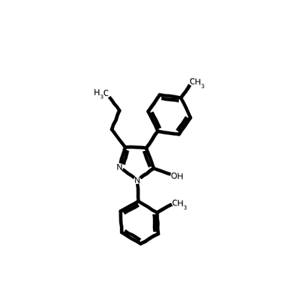 CCCc1nn(-c2ccccc2C)c(O)c1-c1ccc(C)cc1